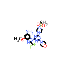 COc1cc(N)cc2c1nc(C(F)F)n2-c1nc(N2CCOCC2)nc(N2CCN(S(C)(=O)=O)CC2)n1